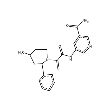 CC1CCN(C(=O)C(=O)Nc2cncc(C(N)=O)c2)C(c2ccccc2)C1